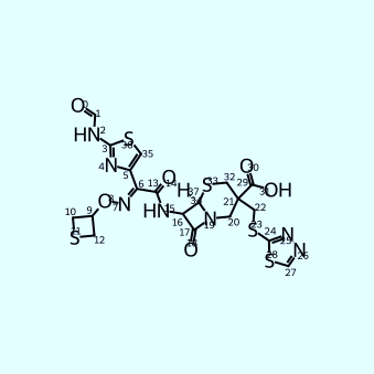 O=CNc1nc(C(=NOC2CSC2)C(=O)NC2C(=O)N3CC(CSc4nncs4)(C(=O)O)CS[C@H]23)cs1